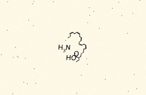 CC/C=C\C/C=C\C/C=C\C/C=C\C/C=C\CCCCC(CC)C(=O)O.N